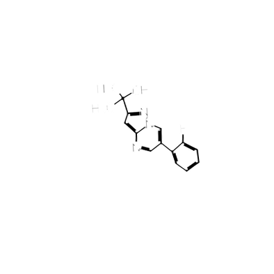 CC(C)(C)c1cc2ncc(-c3ccccc3F)cn2n1